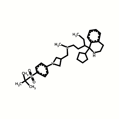 CCC(CCN(C)CC1CN(c2ccc(S(=O)(=O)C(C)(C)C)cc2)C1)C1(C2CCCC2)NCCc2ccccc21